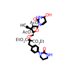 C#C[C@@]1(OC(C)=O)[C@@H](COC(Cc2ccc(N3CCCNC3=O)cc2)(C(=O)OCC)C(=O)OCC)O[C@@H](N2C=CC(O)NC2=O)[C@@H]1OC(C)=O